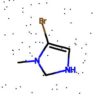 CN1[CH]NC=C1Br